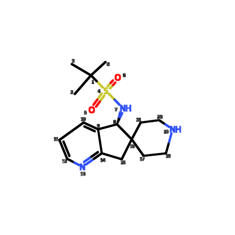 CC(C)(C)S(=O)(=O)N[C@@H]1c2cccnc2CC12CCNCC2